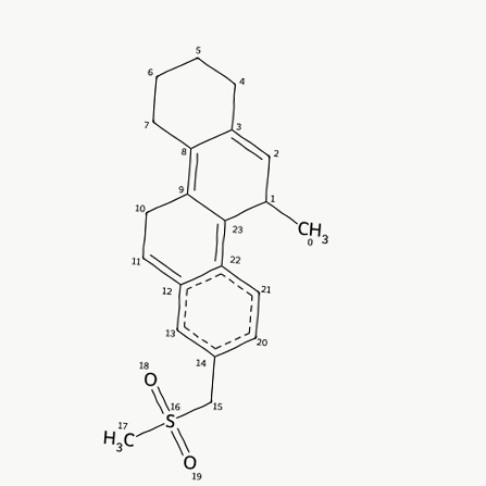 CC1C=C2CCCCC2=C2CC=c3cc(CS(C)(=O)=O)ccc3=C21